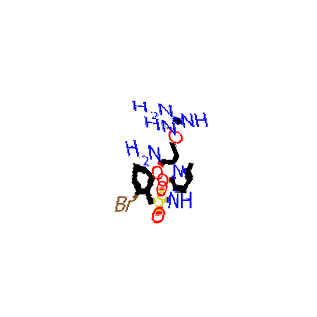 Cc1ccc(NS(=O)(=O)Cc2ccccc2Br)c(=O)n1C(CCONC(=N)N)C(N)=O